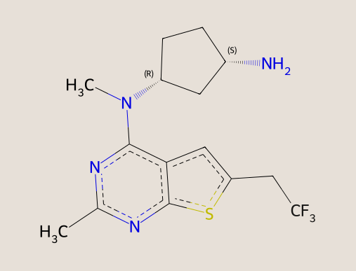 Cc1nc(N(C)[C@@H]2CC[C@H](N)C2)c2cc(CC(F)(F)F)sc2n1